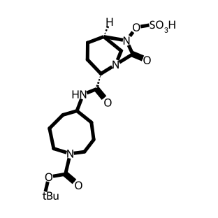 CC(C)(C)OC(=O)N1CCCC(NC(=O)[C@@H]2CC[C@@H]3CN2C(=O)N3OS(=O)(=O)O)CCC1